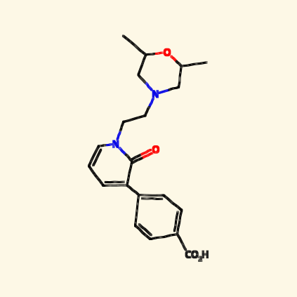 CC1CN(CCn2cccc(-c3ccc(C(=O)O)cc3)c2=O)CC(C)O1